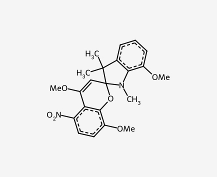 COC1=CC2(Oc3c(OC)ccc([N+](=O)[O-])c31)N(C)c1c(OC)cccc1C2(C)C